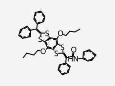 CCCCOc1c2c(c(OCCCC)c3c1SC(=C(c1ccccc1)c1ccccc1)S3)SC(=C(C(=O)Nc1ccccc1)c1ccccc1)S2